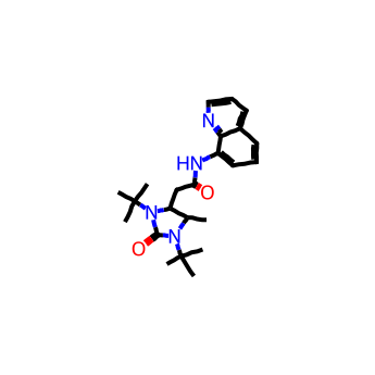 CC1C(CC(=O)Nc2cccc3cccnc23)N(C(C)(C)C)C(=O)N1C(C)(C)C